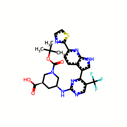 CC(C)(C)OC(=O)N1C[C@@H](Nc2ncc(C(F)(F)F)c(-c3c[nH]c4nc(-c5nccs5)ccc34)n2)C[C@@H](C(=O)O)C1